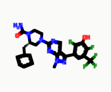 Cn1nc(-c2cc(C(F)(F)F)c(F)c(O)c2F)c2cnc(N3CCN(C(N)=O)[C@@H](Cc4ccccc4)C3)nc21